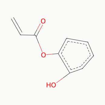 C=CC(=O)Oc1ccccc1O